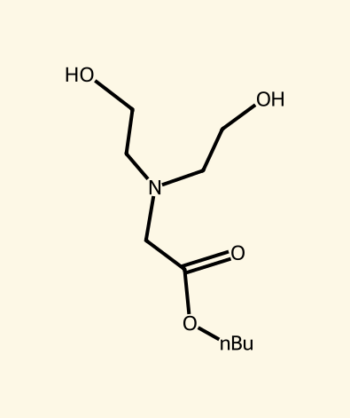 CCCCOC(=O)CN(CCO)CCO